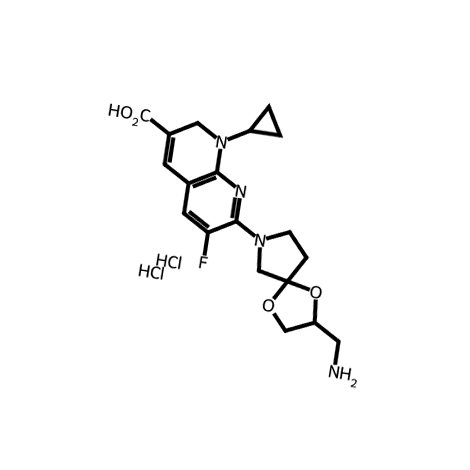 Cl.Cl.NCC1COC2(CCN(c3nc4c(cc3F)C=C(C(=O)O)CN4C3CC3)C2)O1